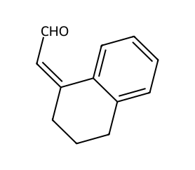 O=C/C=C1/CCCc2ccccc21